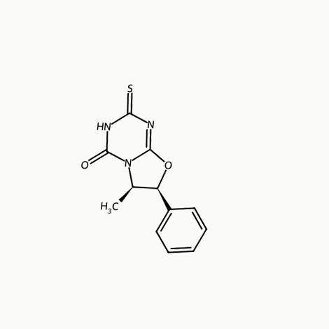 C[C@@H]1[C@H](c2ccccc2)Oc2nc(=S)[nH]c(=O)n21